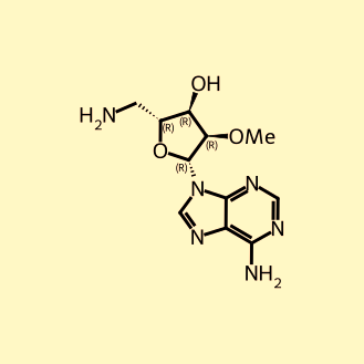 CO[C@@H]1[C@H](O)[C@@H](CN)O[C@H]1n1cnc2c(N)ncnc21